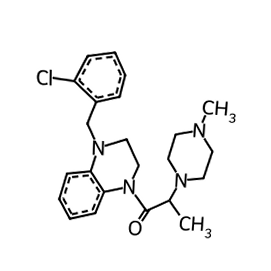 CC(C(=O)N1CCN(Cc2ccccc2Cl)c2ccccc21)N1CCN(C)CC1